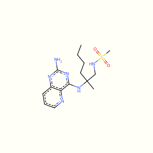 CCCCC(C)(CNS(C)(=O)=O)Nc1nc(N)nc2cccnc12